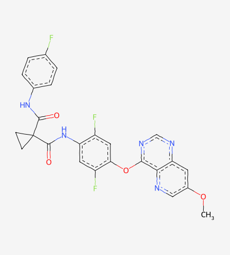 COc1cnc2c(Oc3cc(F)c(NC(=O)C4(C(=O)Nc5ccc(F)cc5)CC4)cc3F)ncnc2c1